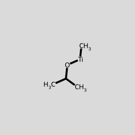 [CH3][Ti][O]C(C)C